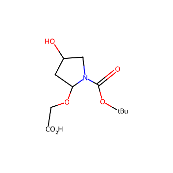 CC(C)(C)OC(=O)N1CC(O)CC1OCC(=O)O